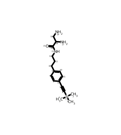 C[Si](C)(C)C#Cc1ccc(CCCNC(=O)C(N)CN)cc1